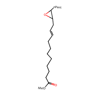 CCCCCC1OC1C/C=C/CCCCCCCC(=O)OC